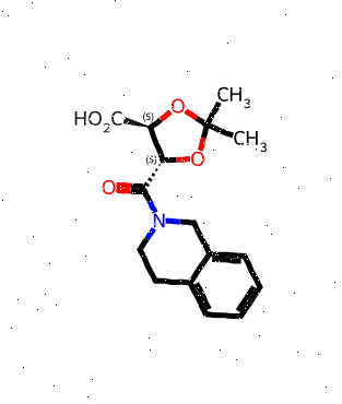 CC1(C)O[C@H](C(=O)O)[C@@H](C(=O)N2CCc3ccccc3C2)O1